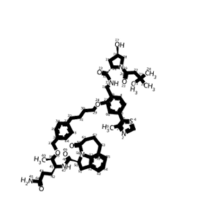 Cc1ncsc1-c1ccc(CNC(=O)[C@@H]2C[C@@H](O)CN2C(=O)CC(C)(C)C)c(OCCCCc2ccc(CO[C@H](C)[C@H](CCC(N)=O)NC(=O)[C@@H]3Cc4cccc5c4N3C(=O)CCC5)cc2)c1